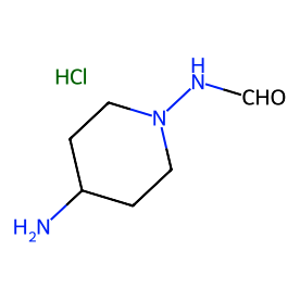 Cl.NC1CCN(NC=O)CC1